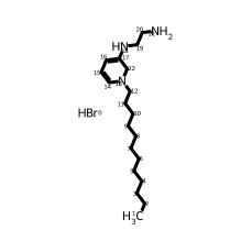 Br.CCCCCCCCCCCCN1C=CC=C(NCCN)C1